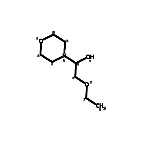 CCOCC(O)N1CCOCC1